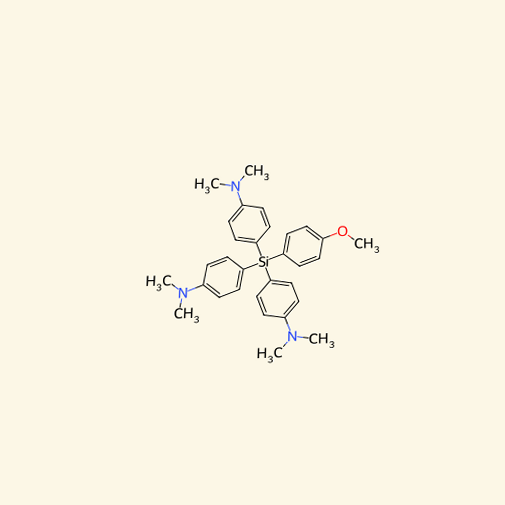 COc1ccc([Si](c2ccc(N(C)C)cc2)(c2ccc(N(C)C)cc2)c2ccc(N(C)C)cc2)cc1